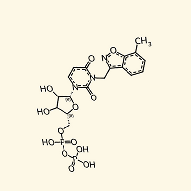 Cc1cccc2c(Cn3c(=O)ccn([C@@H]4O[C@H](COP(=O)(O)OP(=O)(O)O)C(O)C4O)c3=O)noc12